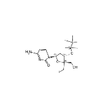 CC(C)(C)[Si](C)(C)O[C@H]1C[C@H](n2ccc(N)nc2=O)O[C@@]1(CO)CI